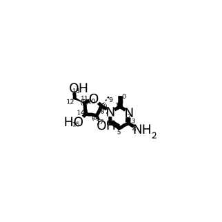 C=C1N=C(N)C=CN1[C@]1(C)O[C@H](CO)C(O)[C@@H]1O